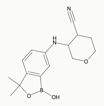 CC1(C)OB(O)c2cc(NC3COCCC3C#N)ccc21